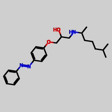 CC(C)CCCC(C)NCC(O)COc1ccc(/N=N/c2ccccc2)cc1